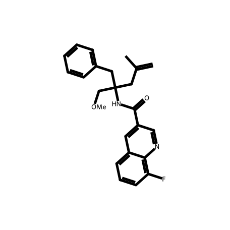 C=C(C)CC(COC)(Cc1ccccc1)NC(=O)c1cnc2c(F)cccc2c1